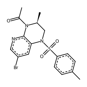 CC(=O)N1c2ncc(Br)cc2N(S(=O)(=O)c2ccc(C)cc2)C[C@@H]1C